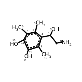 Cc1c(C)c(C(O)CN)c(C)c(O)c1O